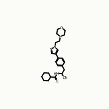 N#CC(Cc1ccc(-c2cnn(CCN3CCOCC3)c2)cc1)NC(=O)C1CCCCC1